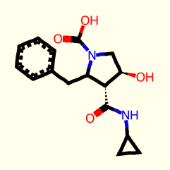 O=C(NC1CC1)[C@@H]1C(Cc2ccccc2)N(C(=O)O)C[C@H]1O